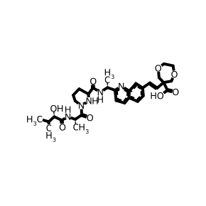 CC(C)[C@H](O)C(=O)N[C@@H](C)C(=O)N1CCCC(C(=O)N[C@H](C)c2ccc3ccc(/C=C/C4(C(=O)O)COCCOC4)cc3n2)N1